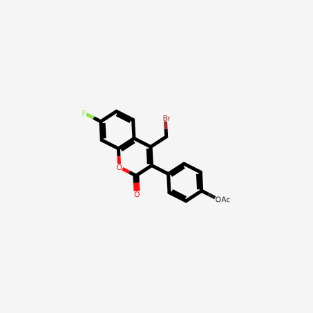 CC(=O)Oc1ccc(-c2c(CBr)c3ccc(F)cc3oc2=O)cc1